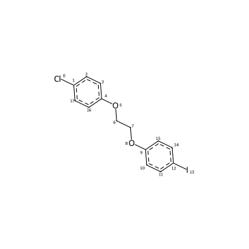 Clc1ccc(OCCOc2ccc(I)cc2)cc1